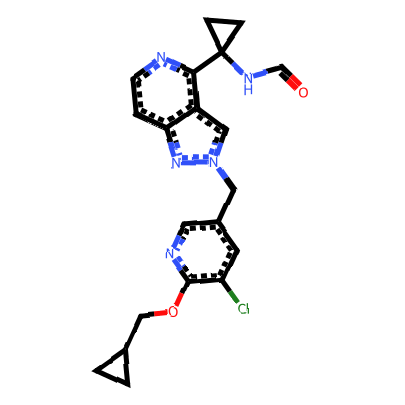 O=CNC1(c2nccc3nn(Cc4cnc(OCC5CC5)c(Cl)c4)cc23)CC1